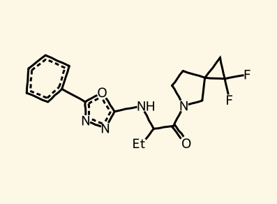 CCC(Nc1nnc(-c2ccccc2)o1)C(=O)N1CCC2(C1)CC2(F)F